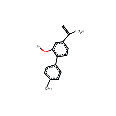 C=C(C(=O)O)c1ccc(-c2ccc(OC)cc2)c(OCC)c1